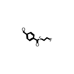 O=Cc1ccc(C(=O)SCCF)cc1